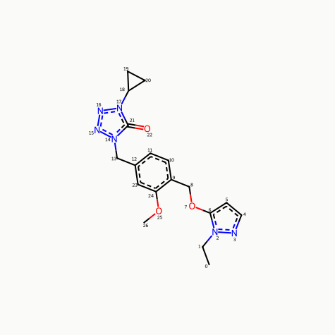 CCn1nccc1OCc1ccc(Cn2nnn(C3CC3)c2=O)cc1OC